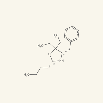 CCCC[C@H]1N[C@@H](Cc2ccccc2)C(CC)(CC)O1